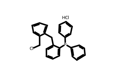 Cl.ClCc1ccccc1Cc1ccccc1P(c1ccccc1)c1ccccc1